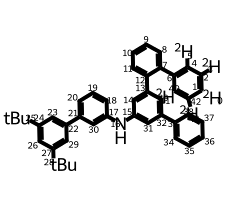 [2H]c1c([2H])c([2H])c(-c2ccccc2-c2cc(Nc3cccc(-c4cc(C(C)(C)C)cc(C(C)(C)C)c4)c3)cc(-c3ccccc3)c2)c([2H])c1[2H]